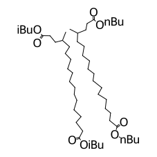 CC(C)COC(=O)CCCCCCCCCCCCCC(C)CCC(=O)OCC(C)C.CCCCOC(=O)CCCCCCCCCCCCCC(C)CCC(=O)OCCCC